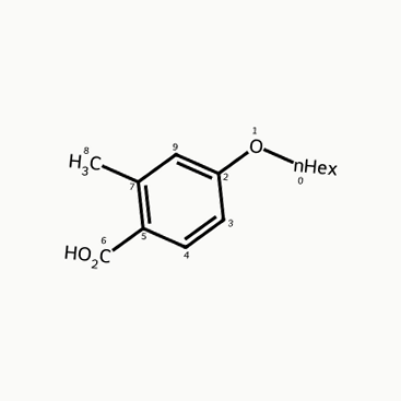 CCCCCCOc1ccc(C(=O)O)c(C)c1